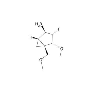 B[C@H]1[C@H](F)[C@H](OC)[C@]2(COC)C[C@H]12